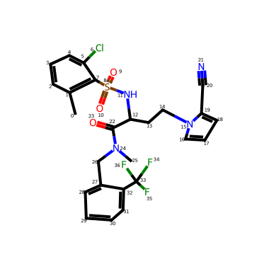 Cc1cccc(Cl)c1S(=O)(=O)NC(CCn1cccc1C#N)C(=O)N(C)Cc1ccccc1C(F)(F)F